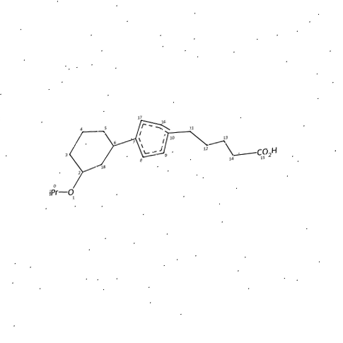 CC(C)OC1CCCC(c2ccc(CCCCC(=O)O)cc2)C1